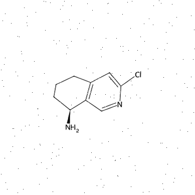 N[C@H]1CCCc2cc(Cl)ncc21